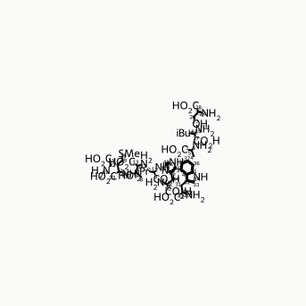 CC(C)C(N)C(=O)O.CC(N)C(=O)O.CC(O)C(N)C(=O)O.CCC(C)C(N)C(=O)O.CSCCC(N)C(=O)O.NC(CO)C(=O)O.NC(Cc1c[nH]c2ccccc12)C(=O)O.NC(Cc1c[nH]cn1)C(=O)O.NCC(=O)O